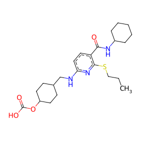 CCCSc1nc(NCC2CCC(OC(=O)O)CC2)ccc1C(=O)NC1CCCCC1